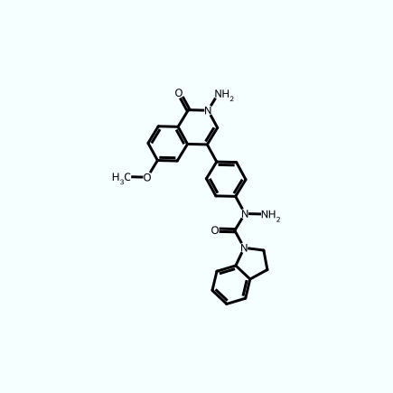 COc1ccc2c(=O)n(N)cc(-c3ccc(N(N)C(=O)N4CCc5ccccc54)cc3)c2c1